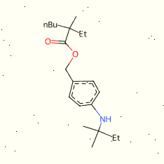 CCCCC(C)(CC)C(=O)OCc1ccc(NC(C)(C)CC)cc1